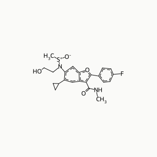 CNC(=O)c1c(-c2ccc(F)cc2)oc2cc(N(CCO)[S+](C)[O-])c(C3CC3)cc12